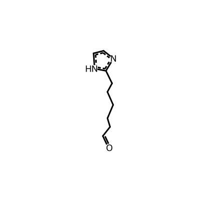 O=CCCCCCc1ncc[nH]1